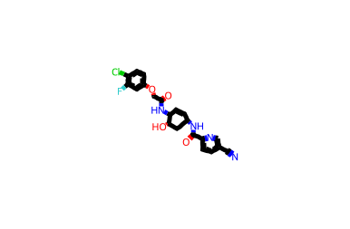 N#Cc1ccc(C(=O)NC2C=CC(NC(=O)COc3ccc(Cl)c(F)c3)C(O)C2)nc1